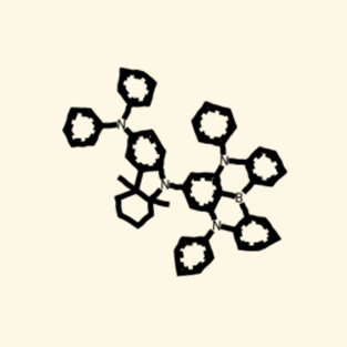 CC12CCCCC1(C)N(c1cc3c4c(c1)N(c1ccccc1)c1ccccc1B4c1ccccc1N3c1ccccc1)c1ccc(N(c3ccccc3)c3ccccc3)cc12